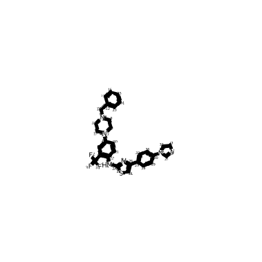 FC(F)(F)c1cc(N2CCN(Cc3ccccc3)CC2)ccc1Nc1nc(-c2ccc(-n3ccnc3)cc2)cs1